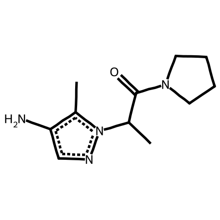 Cc1c(N)cnn1C(C)C(=O)N1CCCC1